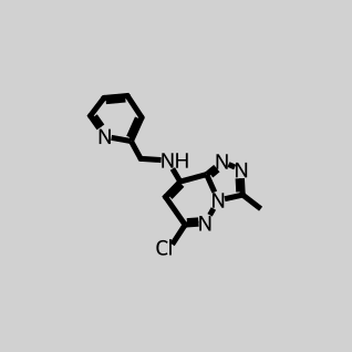 Cc1nnc2c(NCc3ccccn3)cc(Cl)nn12